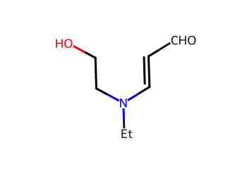 CCN(C=CC=O)CCO